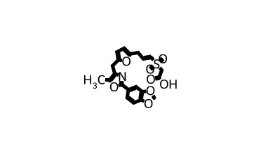 Cc1oc(-c2ccc3c(c2)OCO3)nc1Cc1ccc(CC=CS(=O)(=O)CC(=O)O)o1